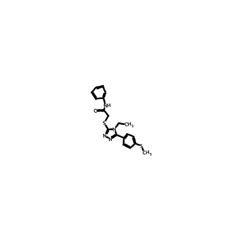 CCn1c(SCC(=O)Nc2ccccc2)nnc1-c1ccc(SC)cc1